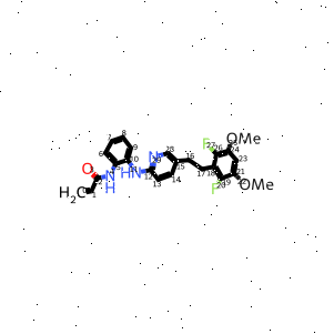 C=CC(=O)Nc1ccccc1Nc1ccc(CCc2c(F)c(OC)cc(OC)c2F)cn1